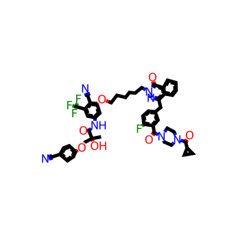 CC(O)(COc1ccc(C#N)cc1)C(=O)Nc1cc(OCCCCCCn2nc(Cc3ccc(F)c(C(=O)N4CCN(C(=O)C5CC5)CC4)c3)c3ccccc3c2=O)c(C#N)c(C(F)(F)F)c1